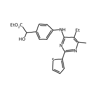 CCOC(=O)C(O)c1ccc(Nc2nc(-c3cccs3)nc(C)c2CC)cc1